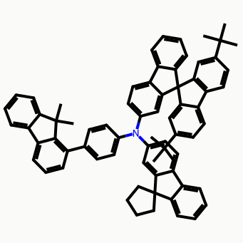 CC(C)(C)c1ccc2c(c1)C1(c3ccccc3-c3ccc(N(c4ccc(-c5cccc6c5C(C)(C)c5ccccc5-6)cc4)c4ccc5c(c4)C4(CCCC4)c4ccccc4-5)cc31)c1cc(C(C)(C)C)ccc1-2